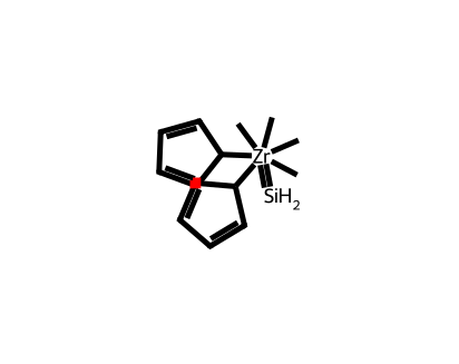 [CH3][Zr]([CH3])([CH3])([CH3])(=[SiH2])([CH]1C=CC=C1)[CH]1C=CC=C1